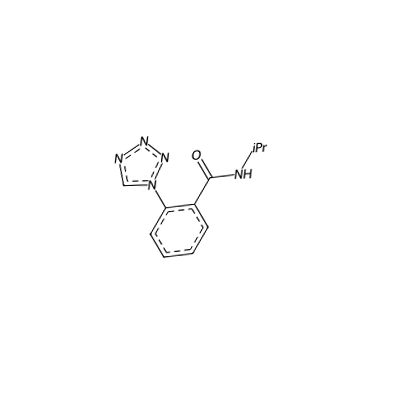 CC(C)NC(=O)c1ccccc1-n1cnnn1